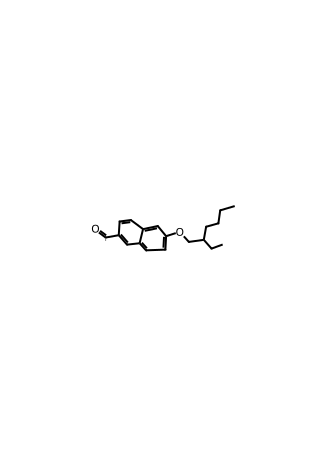 CCCCC(CC)COc1ccc2cc([C]=O)ccc2c1